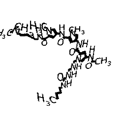 CCCCCNC(=O)NCNCn1cc(NC(C)=O)cc1C(=O)Nc1cc(C(=O)Nc2cc(C(=O)NCCCN(C)C)n(C)c2)n(C)c1